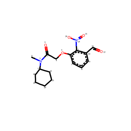 CN(C(=O)COc1cccc(C=O)c1[N+](=O)[O-])C1CCCCC1